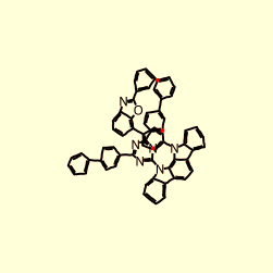 c1ccc(-c2ccc(-c3nc(-c4ccc(-c5ccccc5)cc4)nc(-n4c5ccccc5c5ccc6c7ccccc7n(-c7ccc(-c8cccc9nc(-c%10ccccc%10)oc89)cc7)c6c54)n3)cc2)cc1